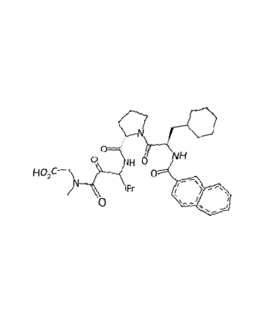 CC(C)C(NC(=O)[C@@H]1CCCN1C(=O)[C@@H](CC1CCCCC1)NC(=O)c1ccc2ccccc2c1)C(=O)C(=O)N(C)CC(=O)O